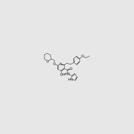 CCOc1ccc(CCc2nc(OCC3CCCCO3)cc(O)c2C(=O)Nc2ccc[nH]2)cc1